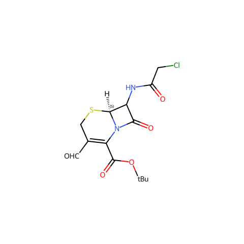 CC(C)(C)OC(=O)C1=C(C=O)CS[C@H]2C(NC(=O)CCl)C(=O)N12